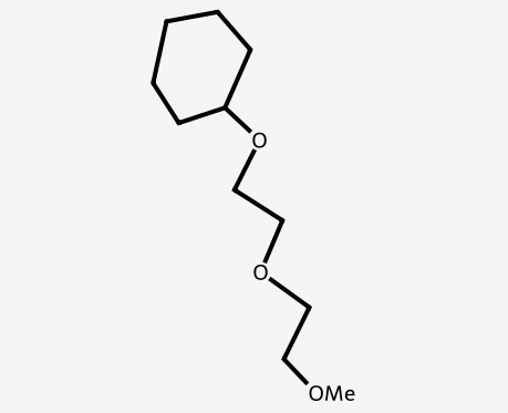 COCCOCCOC1CCCCC1